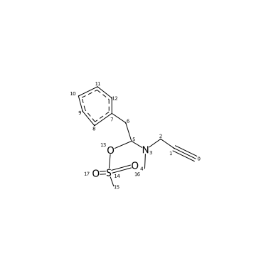 C#CCN(C)C(Cc1ccccc1)OS(C)(=O)=O